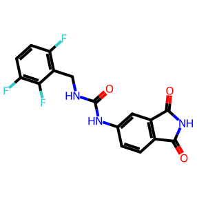 O=C(NCc1c(F)ccc(F)c1F)Nc1ccc2c(c1)C(=O)NC2=O